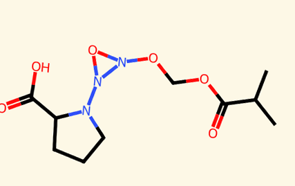 CC(C)C(=O)OCOn1on1N1CCCC1C(=O)O